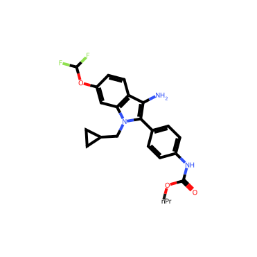 CCCOC(=O)Nc1ccc(-c2c(N)c3ccc(OC(F)F)cc3n2CC2CC2)cc1